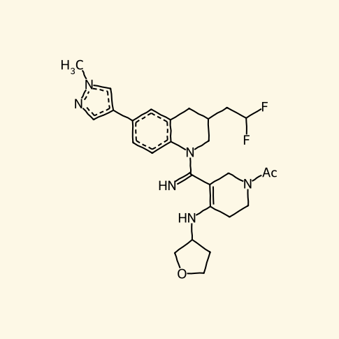 CC(=O)N1CCC(NC2CCOC2)=C(C(=N)N2CC(CC(F)F)Cc3cc(-c4cnn(C)c4)ccc32)C1